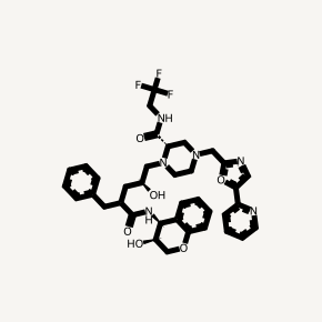 O=C(N[C@H]1c2ccccc2OC[C@H]1O)C(Cc1ccccc1)C[C@H](O)CN1CCN(Cc2ncc(-c3ccccn3)o2)C[C@H]1C(=O)NCC(F)(F)F